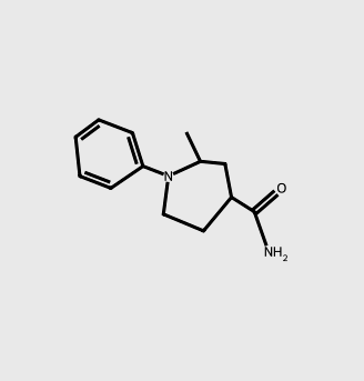 CC1CC(C(N)=O)CCN1c1ccccc1